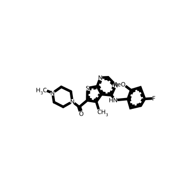 COc1cc(F)ccc1Nc1ncnc2sc(C(=O)N3CCN(C)CC3)c(C)c12